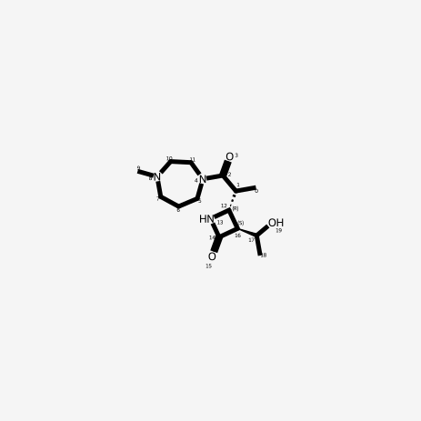 CC(C(=O)N1CCCN(C)CC1)[C@H]1NC(=O)[C@@H]1C(C)O